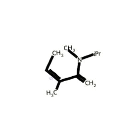 C=C(/C(C)=C\C)N(C)C(C)C